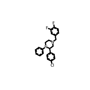 Fc1ccc(CN2CCN(c3ccccc3)C(c3ccc(Cl)cc3)C2)cc1F